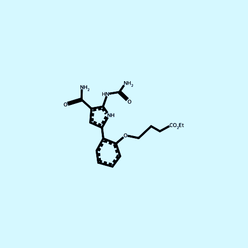 CCOC(=O)CCCOc1ccccc1-c1cc(C(N)=O)c(NC(N)=O)[nH]1